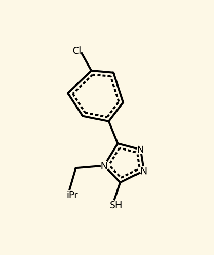 CC(C)Cn1c(S)nnc1-c1ccc(Cl)cc1